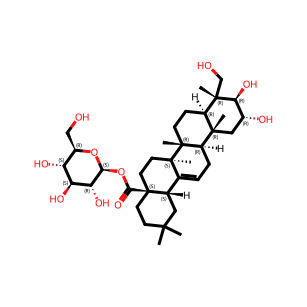 CC1(C)CC[C@]2(C(=O)O[C@@H]3O[C@H](CO)[C@@H](O)[C@H](O)[C@H]3O)CC[C@]3(C)C(=CC[C@@H]4[C@@]5(C)C[C@@H](O)[C@H](O)[C@@](C)(CO)[C@@H]5CC[C@]43C)[C@@H]2C1